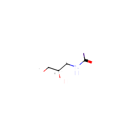 O=C(I)NC[C@@H](O)CO